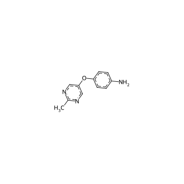 Cc1ncc(Oc2ccc(N)cc2)cn1